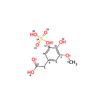 COc1cc(CC(=O)O)ccc1O.O=S(=O)(O)O